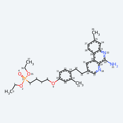 CCOP(=O)(CCCCOc1ccc(CCc2cnc3c(N)nc4cc(C)ccc4c3c2)c(C)c1)OCC